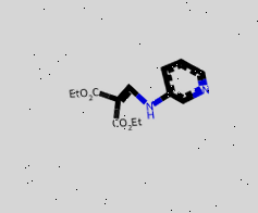 CCOC(=O)C(=CNc1cccnc1)C(=O)OCC